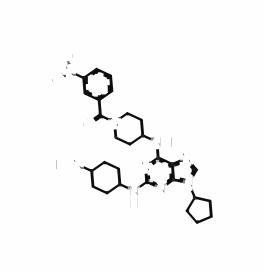 NC1CCC(Nc2nc(NC3CCN(C(=O)c4cccc([N+](=O)[O-])c4)CC3)c3ncn(C4CCCC4)c3n2)CC1